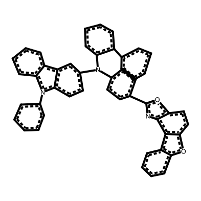 c1ccc(-c2ccccc2N(c2ccc(-c3nc4c(ccc5oc6ccccc6c54)o3)cc2)c2ccc3c(c2)c2ccccc2n3-c2ccccc2)cc1